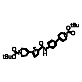 CC(C)(C)OC(=O)N1CC=C(c2ccc(NC(=O)c3ccc(C4=CCN(C(=O)OC(C)(C)C)CC4)s3)cc2)CC1